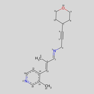 CC(/C=N/CC#CC1CCOCC1)=C\c1ccncc1C